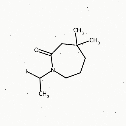 CC(I)N1CCCC(C)(C)CC1=O